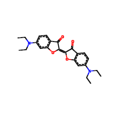 CCN(CC)c1ccc2c(c1)OC(=C1Oc3cc(N(CC)CC)ccc3C1=O)C2=O